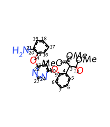 COC(=O)C(c1ccccc1Oc1cc(Oc2ccccc2N)ncn1)C(OC)OC